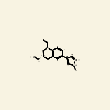 CCN1C[C@@H](CO)Cc2cc(-c3cnn(C)c3)ccc21